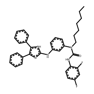 CCCCCCCN(C(=O)Nc1ccc(F)cc1F)c1cccc(Nc2nc(-c3ccccc3)c(-c3ccccc3)[nH]2)c1